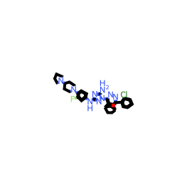 Nc1nc(Nc2ccc(N3CCC(N4CCCC4)CC3)c(F)c2)nn1-c1nnc(-c2ccccc2Cl)c2c1C1CCC2CC1